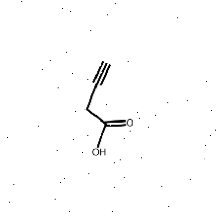 C#C[CH]C(=O)O